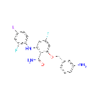 NC(=O)c1c(Nc2ccc(I)cc2F)cc(F)cc1OCc1cccc(N)c1